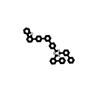 c1ccc(-c2cccc(-c3nc(-c4ccc(-c5cccc(-c6ccc(-c7cccc8c7oc7ccccc78)cc6)c5)cc4)nc(-c4ccccc4-c4ccccc4)n3)c2)cc1